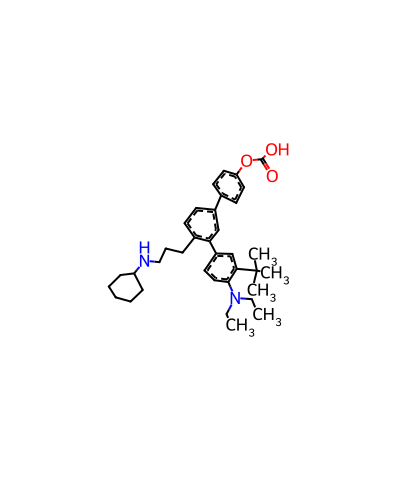 CCN(CC)c1ccc(-c2cc(-c3ccc(OC(=O)O)cc3)ccc2CCCNC2CCCCC2)cc1C(C)(C)C